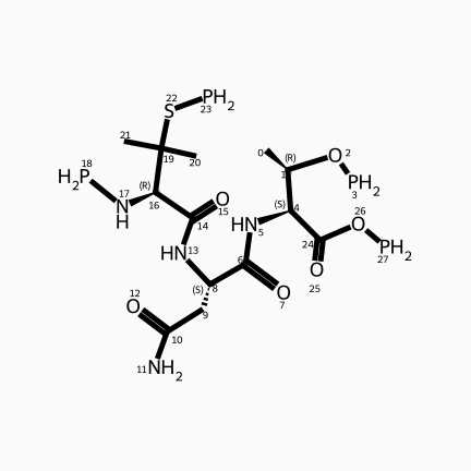 C[C@@H](OP)[C@H](NC(=O)[C@H](CC(N)=O)NC(=O)[C@@H](NP)C(C)(C)SP)C(=O)OP